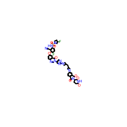 N#Cc1c(NS(=O)(=O)N2CC[C@@H](F)C2)ccc(F)c1Oc1ccc2ncn(-c3cnc(N4CC(CC5CN(c6ccc7c(c6)C(=O)N(C6CCC(=O)NC6=O)C7=O)C5)C4)nc3)c(=O)c2c1